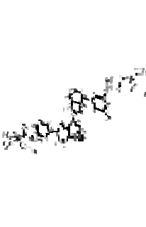 CN(C)CCNc1cc(F)cc(-c2cncc3[nH]c(-c4n[nH]c5ccc(-c6cncc(NC(=O)C(C)(C)C)c6)nc45)nc23)c1